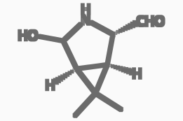 CC1(C)[C@@H]2[C@@H](C=O)NC(O)[C@@H]21